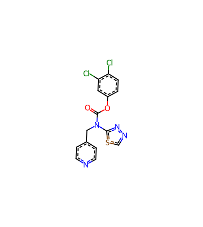 O=C(Oc1ccc(Cl)c(Cl)c1)N(Cc1ccncc1)c1nncs1